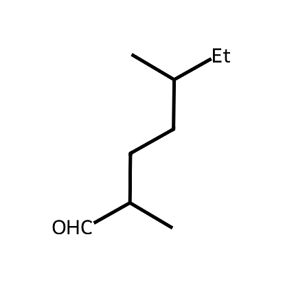 CCC(C)CCC(C)C=O